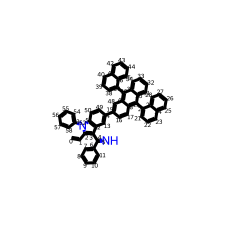 C=Cc1c(C(=N)c2ccccc2)c2cc(-c3ccc4c(-c5cccc6ccccc56)c5ccccc5c(-c5cccc6ccccc56)c4c3)ccc2n1-c1ccccc1